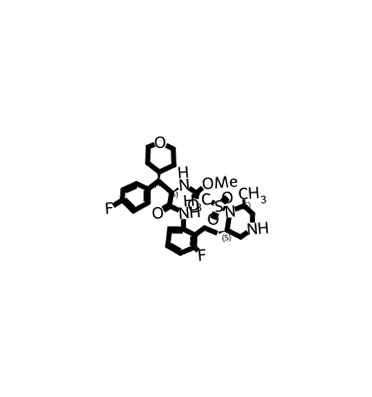 COC(=O)N[C@H](C(=O)Nc1cccc(F)c1CC[C@H]1CNC[C@H](C)N1S(C)(=O)=O)[C@@H](c1ccc(F)cc1)C1CCOCC1